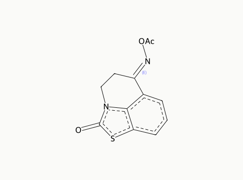 CC(=O)O/N=C1\CCn2c(=O)sc3cccc1c32